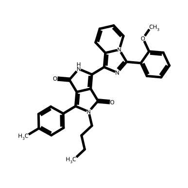 CCCCN1C(=O)C2=C(c3nc(-c4ccccc4OC)n4ccccc34)NC(=O)C2=C1c1ccc(C)cc1